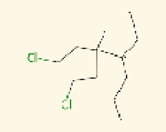 CCC[C](CC)C(C)(CCCl)CCCl